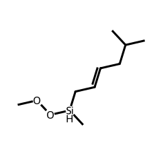 COO[SiH](C)CC=CCC(C)C